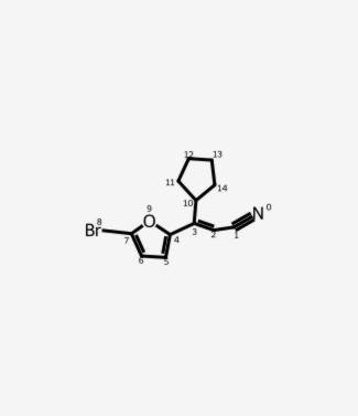 N#C/C=C(/c1ccc(Br)o1)C1CCCC1